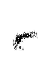 CCCNCc1cc2cc(NS(=O)(=O)c3ccc(C(C)C)cc3)ccc2[nH]1